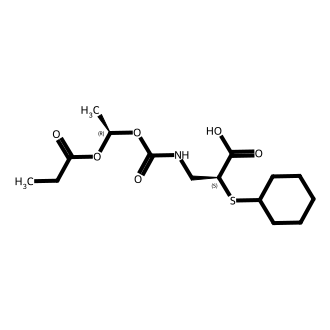 CCC(=O)O[C@@H](C)OC(=O)NC[C@H](SC1CCCCC1)C(=O)O